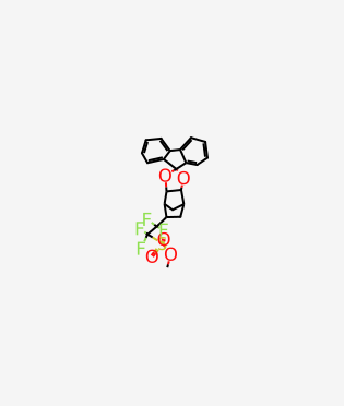 COS(=O)(=O)C(F)(F)C(F)(F)C1CC2CC1C1OC3(OC21)c1ccccc1-c1ccccc13